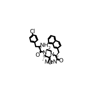 CNC(=O)[C@H](Cc1ccc2ccccc2c1)N1CCN(C(=O)[C@H](N)Cc2ccc(Cl)cc2)[C@@H](C)C1=O